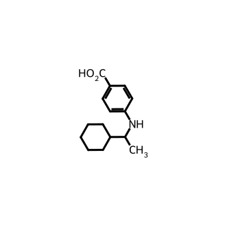 CC(Nc1ccc(C(=O)O)cc1)C1CCCCC1